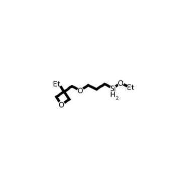 CCO[SiH2]CCCOCC1(CC)COC1